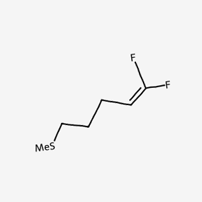 CSCCCC=C(F)F